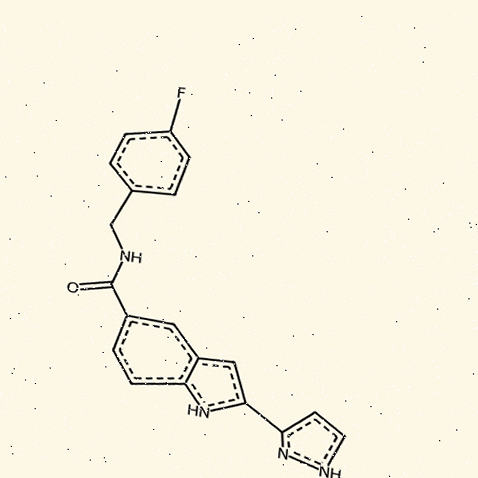 O=C(NCc1ccc(F)cc1)c1ccc2[nH]c(-c3cc[nH]n3)cc2c1